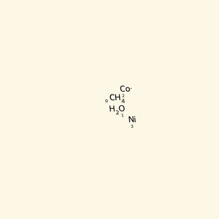 C.O.[Co].[Ni]